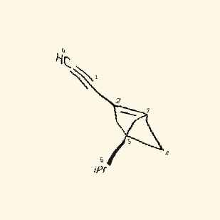 C#CC1=C2C[C@]12C(C)C